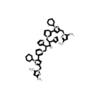 Cc1cc(C)n(Cc2cc(C3=CN(CC(C(=O)C(CN4C=CCC(c5cc(Cn6nc(C)cc6C)nn5C5CCCCC5)=C4)c4cccs4)c4cccs4)C=CC3)n(C3CCCCC3)n2)n1